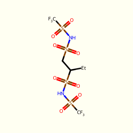 CCC(CS(=O)(=O)NS(=O)(=O)C(F)(F)F)S(=O)(=O)NS(=O)(=O)C(F)(F)F